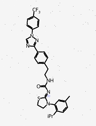 Cc1ccc(C(C)C)c(N2CCS/C2=N\C(=O)NCCc2ccc(-c3ncn(-c4ccc(C(F)(F)F)cc4)n3)cc2)c1